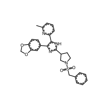 Cc1cccc(-c2[nH]c(C3CCN(S(=O)(=O)Cc4ccccc4)C3)nc2-c2ccc3c(c2)OCO3)n1